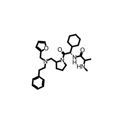 CNC(C)C(=O)N[C@H](C(=O)N1CCCC1CN(CCc1ccccc1)Cc1ccco1)C1CCCCC1